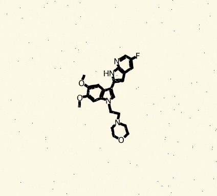 COc1cc2c(-c3cc4cc(F)cnc4[nH]3)cn(CCN3CCOCC3)c2cc1OC